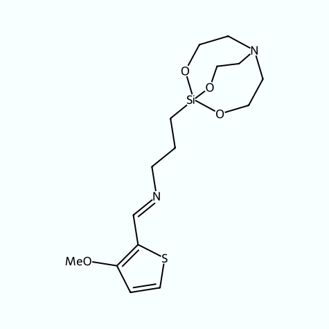 COc1ccsc1C=NCCC[Si]12OCCN(CCO1)CCO2